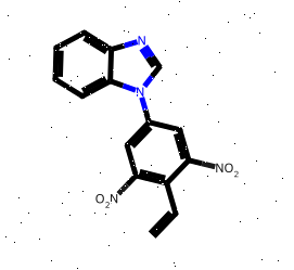 C=Cc1c([N+](=O)[O-])cc(-n2cnc3ccccc32)cc1[N+](=O)[O-]